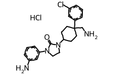 Cl.NCC1(c2cccc(Cl)c2)CCC(N2CCN(c3cccc(N)c3)C2=O)CC1